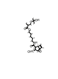 CC(COC(C)(C)O)C(=O)OCCCCCNC(=O)C1C(C=O)C2OC23C=CC13